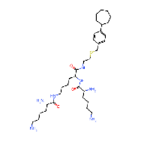 NCCCC[C@H](N)C(=O)NCCCC[C@H](NC(=O)[C@@H](N)CCCCN)C(=O)NCCSCc1ccc(C2CCCCCC2)cc1